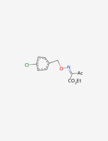 CCOC(=O)/C(=N\OCc1ccc(Cl)cc1)C(C)=O